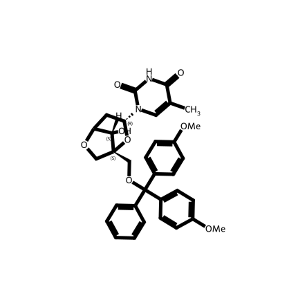 COc1ccc(C(OC[C@]23COC(C[C@H](n4cc(C)c(=O)[nH]c4=O)O2)[C@@H]3O)(c2ccccc2)c2ccc(OC)cc2)cc1